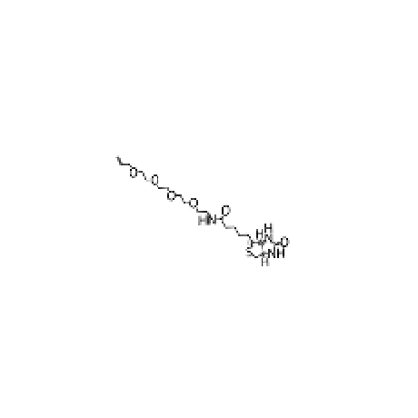 C=CCOCCOCCOCCOCCNC(=O)CCCC[C@@H]1SC[C@@H]2NC(=O)N[C@@H]21